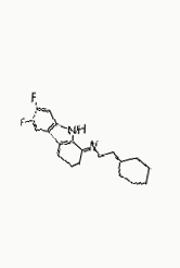 Fc1cc2[nH]c3c(c2cc1F)CCC/C3=N\CCC1CCCCC1